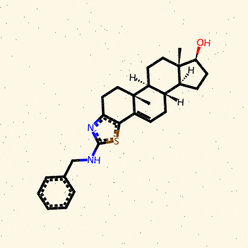 C[C@]12CC[C@H]3[C@@H](CC=C4c5sc(NCc6ccccc6)nc5CC[C@@]43C)[C@@H]1CC[C@@H]2O